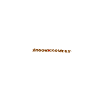 S=S=S=S=S=S=S=S=S=S=S=S=S=S=S=S=S=S=S=S=S=S=S=S=S=S=S=S=S=S=S=S=S=S=S=S=S=S=S=S=S=S=S=S=S=S=S=S=S=S